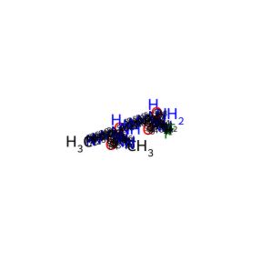 CN1CC=C(c2nc(C(=O)NCN3CCN(C4CCN(c5ccc(Nc6nc(NC7CCOCC7)c(-c7ccc(C(F)F)cc7)nc6C(N)=O)cc5)CC4)CC3)c(Nc3ccc(N4CCC(N5CCN(C)CC5)CC4)cc3)nc2NC2CCOCC2)CC1